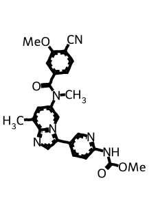 COC(=O)Nc1ccc(-c2cnc3c(C)cc(N(C)C(=O)c4ccc(C#N)c(OC)c4)cn23)cn1